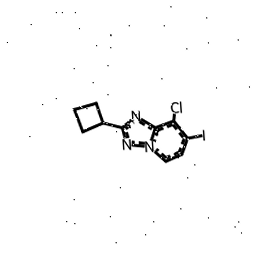 Clc1c(I)ccn2nc(C3CCC3)nc12